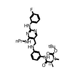 CCCNc1nc(Nc2cccc(F)c2)ncc1CNc1cccc(NC(=O)[C@H](C)N(C)C(=O)OC(C)(C)C)c1